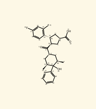 C[C@@H]1CN(C(=O)[C@@H]2CN(C(=O)O)C[C@H]2c2ccc(F)cc2F)C[C@H](C)C1(O)c1ccccn1